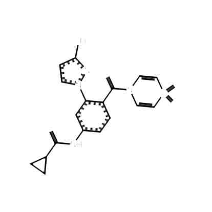 CC(C)c1ccn(-c2cc(NC(=O)C3CC3)ccc2C(=O)N2C=CS(=O)(=O)C=C2)n1